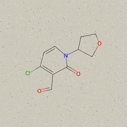 O=Cc1c(Cl)ccn(C2CCOC2)c1=O